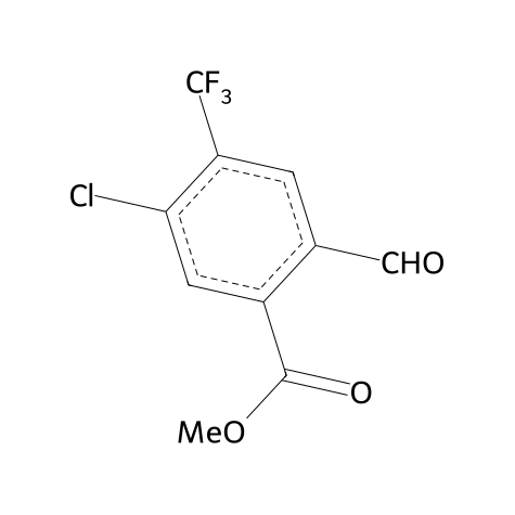 COC(=O)c1cc(Cl)c(C(F)(F)F)cc1C=O